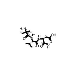 CC(C)[C@@H](C(=O)N[C@@H](CC(=O)O)C(=O)O)N(C)C(=O)C(C)(C)N